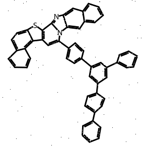 c1ccc(-c2ccc(-c3cc(-c4ccccc4)cc(-c4ccc(-c5cc6c(sc7ccc8ccccc8c76)c6nc7cc8ccccc8cc7n56)cc4)c3)cc2)cc1